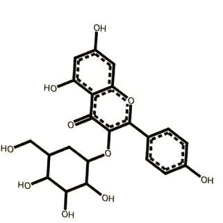 O=c1c(OC2CC(CO)C(O)C(O)C2O)c(-c2ccc(O)cc2)oc2cc(O)cc(O)c12